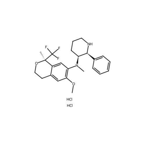 COc1cc2c(cc1N(C)[C@H]1CCCN[C@H]1c1ccccc1)[C@](C)(C(F)(F)F)OCC2.Cl.Cl